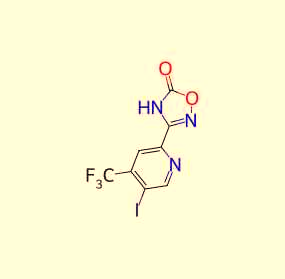 O=c1[nH]c(-c2cc(C(F)(F)F)c(I)cn2)no1